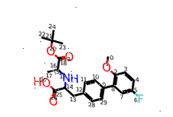 COc1ccc(F)cc1-c1ccc(CC(N[C@@H](C)C(=O)OC(C)(C)C)C(=O)O)cc1